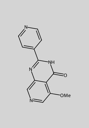 COc1cncc2nc(-c3ccncc3)[nH]c(=O)c12